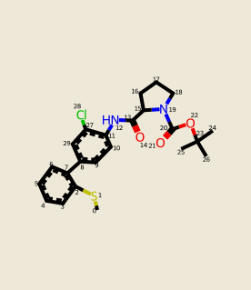 CSc1ccccc1-c1ccc(NC(=O)C2CCCN2C(=O)OC(C)(C)C)c(Cl)c1